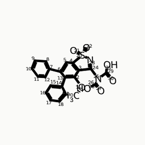 COc1c2c(cc(-c3ccccc3)c1-c1ccccc1)S(=O)(=O)N=C2N(C(=O)O)C(=O)O